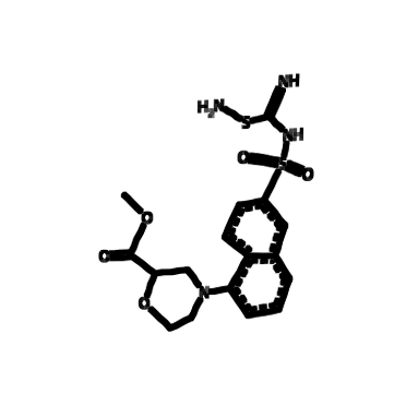 COC(=O)C1CN(c2cccc3cc(S(=O)(=O)NC(=N)SN)ccc23)CCO1